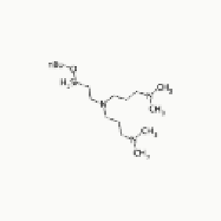 CCCCO[SiH2]CCN(CCCN(C)C)CCCN(C)C